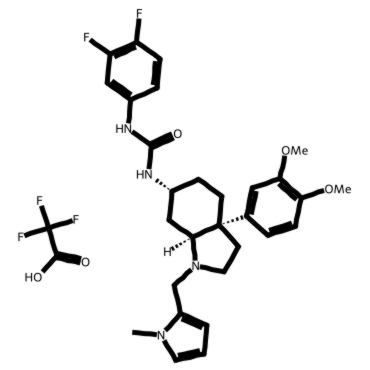 COc1ccc([C@@]23CC[C@@H](NC(=O)Nc4ccc(F)c(F)c4)C[C@@H]2N(Cc2cccn2C)CC3)cc1OC.O=C(O)C(F)(F)F